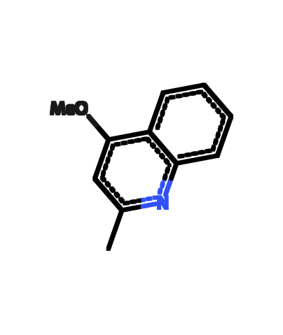 COc1cc(C)nc2ccccc12